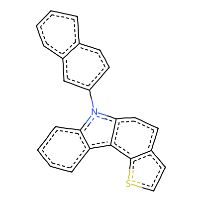 c1ccc2cc(-n3c4ccccc4c4c5sccc5ccc43)ccc2c1